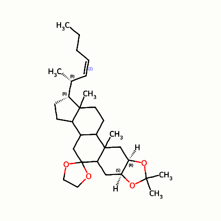 CCC/C=C\[C@@H](C)[C@H]1CCC2C3CC4(OCCO4)C4C[C@@H]5OC(C)(C)O[C@@H]5CC4(C)C3CCC21C